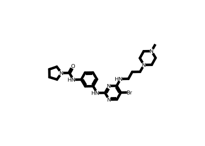 CN1CCN(CCCNc2nc(Nc3cccc(NC(=O)N4CCCC4)c3)ncc2Br)CC1